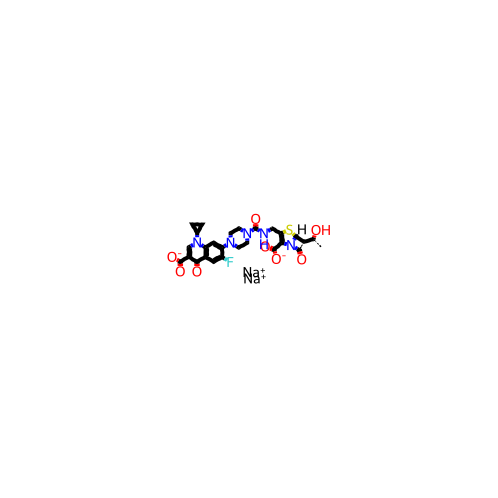 C[C@@H](O)[C@@H]1C(=O)N2C(C(=O)[O-])=C(CNC(=O)N3CCN(c4cc5c(cc4F)c(=O)c(C(=O)[O-])cn5C4CC4)CC3)S[C@H]12.[Na+].[Na+]